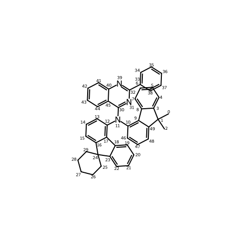 CC1(C)c2ccccc2-c2c(N(c3cccc4c3-c3ccccc3C43CCCCC3)c3nc(-c4ccccc4)nc4ccccc34)cccc21